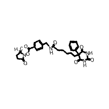 C=C1CCC(=O)N1OC(=O)c1ccc(CNC(=O)CCCCCC2(c3ccccc3)C(=O)NC(=O)NC2=O)cc1